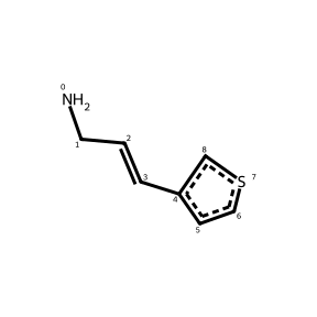 NCC=Cc1ccsc1